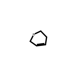 C1=CC[N]CC1